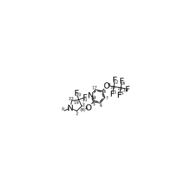 CN1C[C@@H](Oc2ccc(OC(F)(F)C(F)(F)F)cn2)C(F)(F)C1